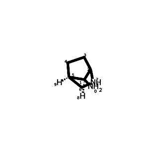 N[C@@H]1C2CC[C@@H]1CN2